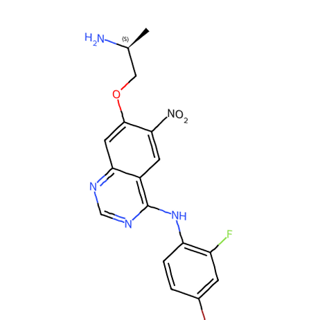 C[C@H](N)COc1cc2ncnc(Nc3ccc(Br)cc3F)c2cc1[N+](=O)[O-]